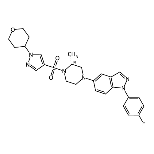 C[C@@H]1CN(c2ccc3c(cnn3-c3ccc(F)cc3)c2)CCN1S(=O)(=O)c1cnn(C2CCOCC2)c1